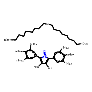 CCCCCCCCCCCCCCCCC[CH2][Ni][CH2]CCCCCCCCCCCCCCCCC.CCCCCCc1cc(C2=C(CCCC)C(CCCC)=C(c3cc(CCCCCC)c(CCCCCC)c(CCCCCC)c3)[N+]2=[N-])cc(CCCCCC)c1CCCCCC